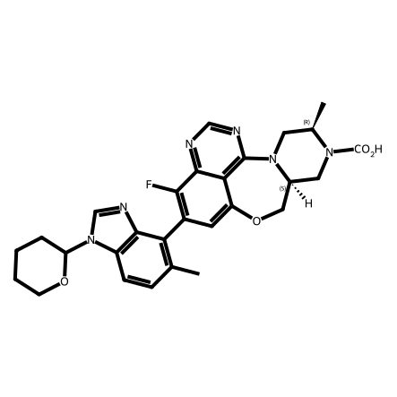 Cc1ccc2c(ncn2C2CCCCO2)c1-c1cc2c3c(ncnc3c1F)N1C[C@@H](C)N(C(=O)O)C[C@H]1CO2